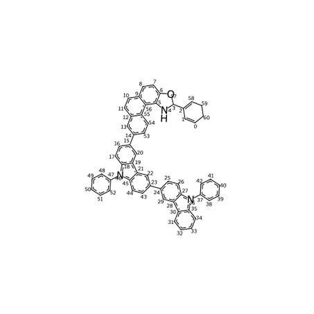 C1=CC(C2Nc3c(ccc4ccc5cc(-c6ccc7c(c6)c6cc(-c8ccc9c(c8)c8ccccc8n9-c8ccccc8)ccc6n7-c6ccccc6)ccc5c34)O2)=CCC1